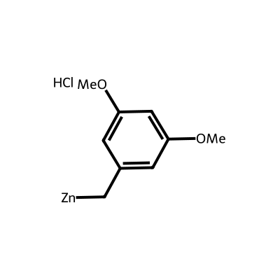 COc1cc([CH2][Zn])cc(OC)c1.Cl